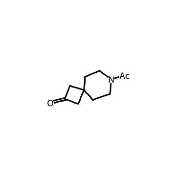 [CH2]C(=O)N1CCC2(CC1)CC(=O)C2